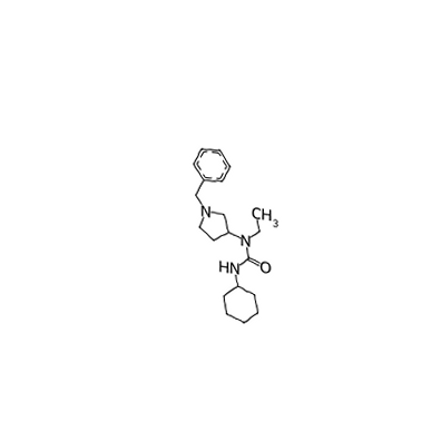 CCN(C(=O)NC1CCCCC1)C1CCN(Cc2ccccc2)C1